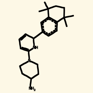 CC1(C)CCC(C)(C)c2cc(C3C=CC=C(N4CCC(N)CC4)N3)ccc21